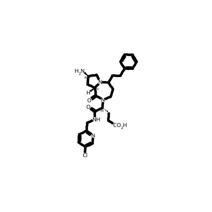 N[C@@H]1C[C@H]2C(=O)N([C@H](CCC(=O)O)C(=O)NCc3ccc(Cl)cn3)CCC(CCc3ccccc3)N2C1